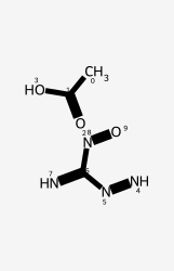 CC(=O)O.N=NC(=N)N=O